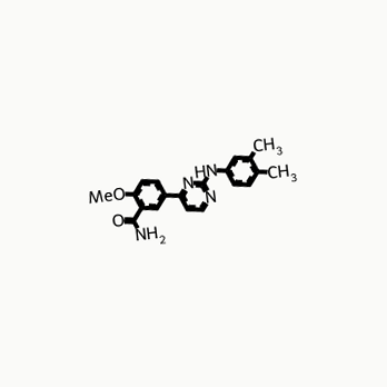 COc1ccc(-c2ccnc(Nc3ccc(C)c(C)c3)n2)cc1C(N)=O